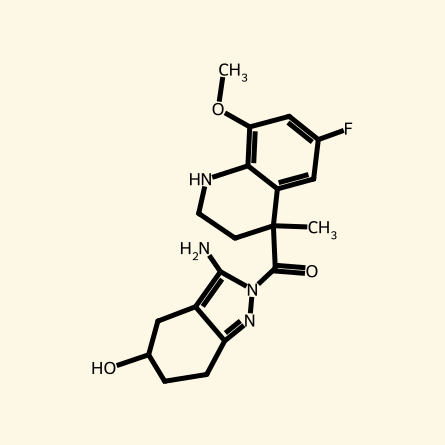 COc1cc(F)cc2c1NCCC2(C)C(=O)n1nc2c(c1N)CC(O)CC2